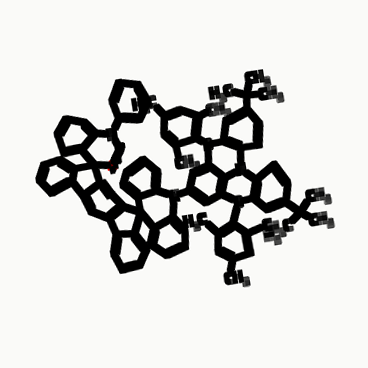 Cc1cc(C)c(B2c3cc(C(C)(C)C)ccc3N3c4ccc(C(C)(C)C)cc4B(c4c(C)cc(C)cc4C)c4cc(N5c6ccccc6C6(c7ccccc7-c7cc8c(cc76)C6(c7ccccc7-8)c7ccccc7N(c7ccccc7)c7ccccc76)c6ccccc65)cc2c43)c(C)c1